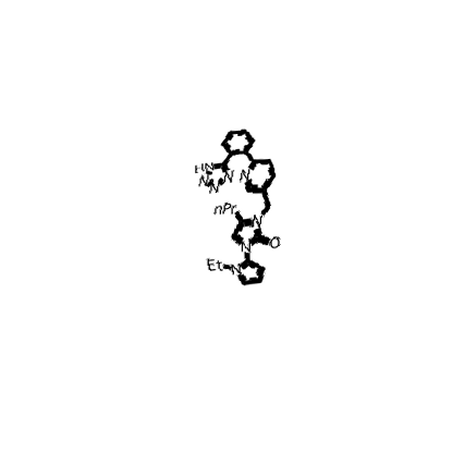 CCCc1cn(-c2cccn2CC)c(=O)n1Cc1ccc(-c2ccccc2-c2nnn[nH]2)nc1